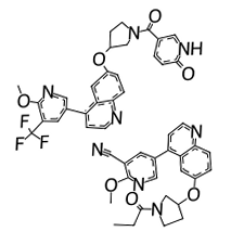 CCC(=O)N1CCC(Oc2ccc3nccc(-c4cnc(OC)c(C#N)c4)c3c2)C1.COc1ncc(-c2ccnc3ccc(OC4CCN(C(=O)c5ccc(=O)[nH]c5)C4)cc23)cc1C(F)(F)F